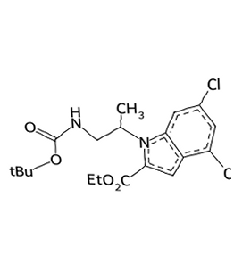 CCOC(=O)c1cc2c(Cl)cc(Cl)cc2n1C(C)CNC(=O)OC(C)(C)C